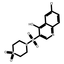 O=S1(=O)CCN(S(=O)(=O)c2cnc3ccc(Cl)cc3c2O)CC1